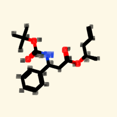 C=CC[C@@H](C)OC(=O)CC(NC(=O)OC(C)(C)C)c1ccccc1